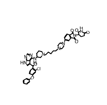 O=C1CCC(N2C(=O)c3ccc(N4CCN(CCCCCN5CCCC(Nc6ncnc7[nH]cc(C(=O)c8ccc(Oc9ccccc9)cc8Cl)c67)C5)CC4)cc3C2=O)C(=O)N1